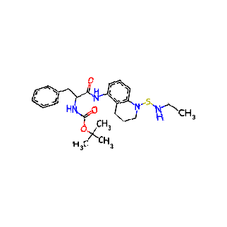 CCNSN1CCCc2c(NC(=O)C(Cc3ccccc3)NC(=O)OC(C)(C)C)cccc21